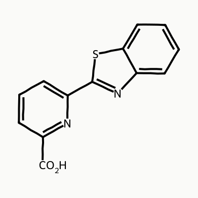 O=C(O)c1cccc(-c2nc3ccccc3s2)n1